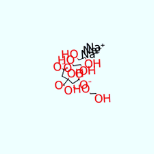 O=C([O-])CC(O)(CC(=O)[O-])C(=O)[O-].OCCO.OCCO.OCCO.[Na+].[Na+].[Na+]